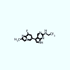 Cc1cn2cc(-c3c[nH]c4nc(NCC(F)(F)F)ncc34)cc(F)c2n1